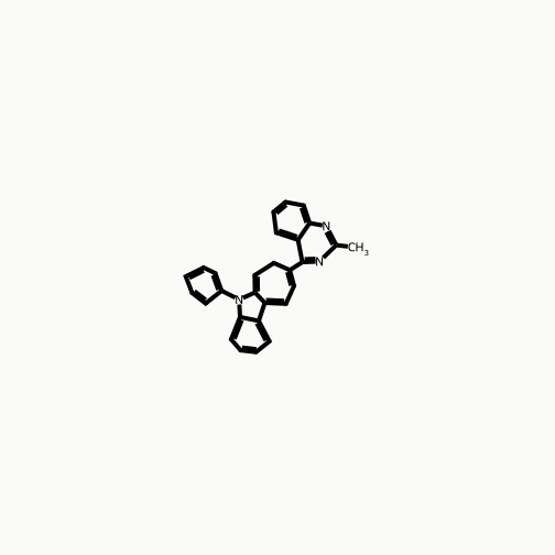 Cc1nc(C2=CC=c3c(n(-c4ccccc4)c4ccccc34)=CC2)c2ccccc2n1